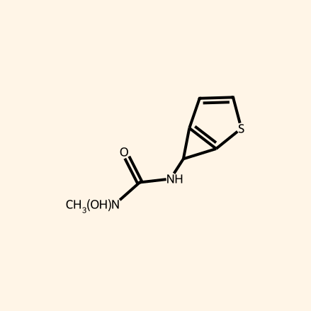 CN(O)C(=O)NC1c2ccsc21